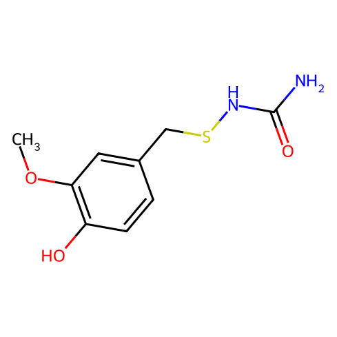 COc1cc(CSNC(N)=O)ccc1O